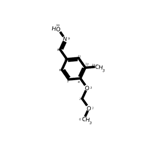 COCOc1ccc(C=NO)cc1C